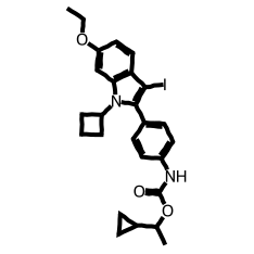 CCOc1ccc2c(I)c(-c3ccc(NC(=O)OC(C)C4CC4)cc3)n(C3CCC3)c2c1